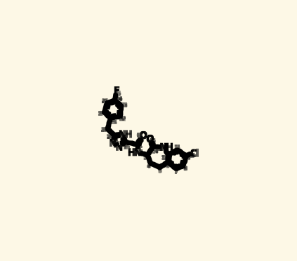 O=C(NC1CCc2ccc(Cl)cc2NC1=O)c1nnc(Cc2ccc(F)cc2)[nH]1